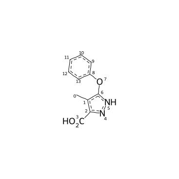 Cc1c(C(=O)O)n[nH]c1Oc1ccccc1